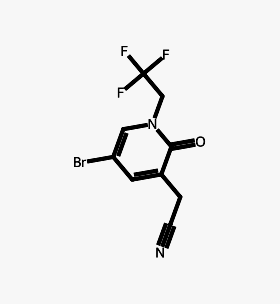 N#CCc1cc(Br)cn(CC(F)(F)F)c1=O